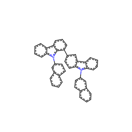 c1ccc2cc(-n3c4ccccc4c4cc(-c5cccc6c7ccccc7n(-c7ccc8ccccc8c7)c56)ccc43)ccc2c1